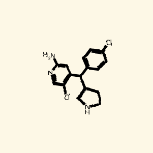 Nc1cc(C(c2ccc(Cl)cc2)C2CCNC2)c(Cl)cn1